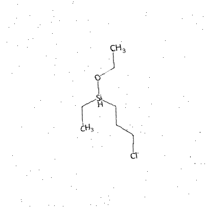 CCO[SiH](CC)CCCCl